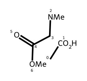 CC(=O)O.CNCC(=O)OC